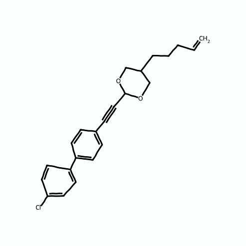 C=CCCCC1COC(C#Cc2ccc(-c3ccc(Cl)cc3)cc2)OC1